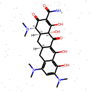 CN(C)c1cc(N(C)C)c2c(c1O)C(O)=C1C(=O)[C@]3(O)C(O)=C(C(N)=O)C(=O)[C@@H](N(C)C)[C@@H]3C[C@@H]1C2